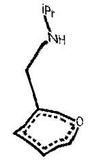 CC(C)NCc1ccco1